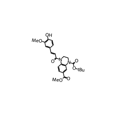 COC(=O)c1ccc2c(c1)N(C(=O)OC(C)(C)C)CCN2C(=O)C=Cc1ccc(O)c(OC)c1